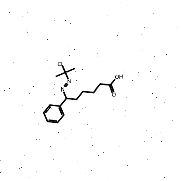 CC(C)(Cl)N=NC(CCCCC(=O)O)c1ccccc1